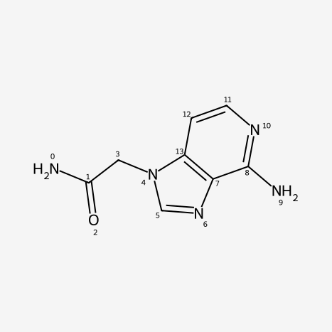 NC(=O)Cn1cnc2c(N)nccc21